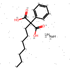 CCCCCCCC(C(=O)O)(C(=O)O)c1ccccc1.[LiH].[NaH]